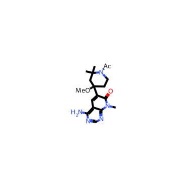 COC1(c2cc3c(N)ncnc3n(C)c2=O)CCN(C(C)=O)C(C)(C)C1